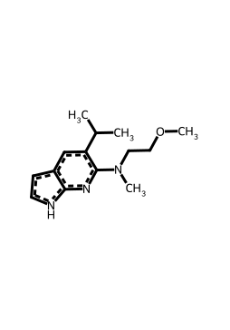 COCCN(C)c1nc2[nH]ccc2cc1C(C)C